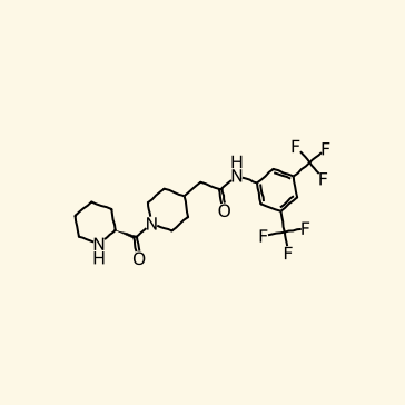 O=C(CC1CCN(C(=O)[C@@H]2CCCCN2)CC1)Nc1cc(C(F)(F)F)cc(C(F)(F)F)c1